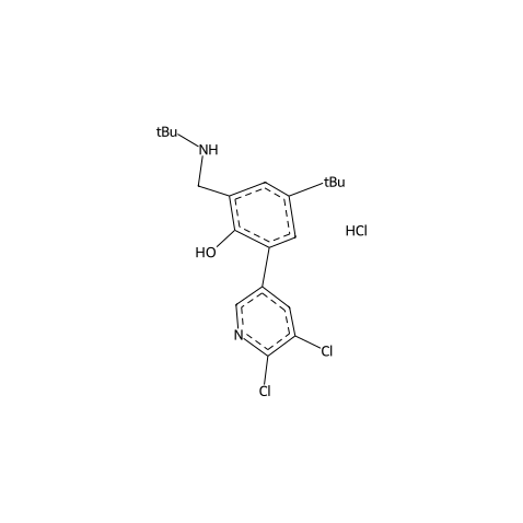 CC(C)(C)NCc1cc(C(C)(C)C)cc(-c2cnc(Cl)c(Cl)c2)c1O.Cl